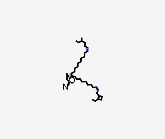 CCC1=C(C/C=C\CCCCCCCC[C@@]2(CCCCCCCCC/C=C\CCC(C)CC)OC(CN(C)C)CN2C)CC1